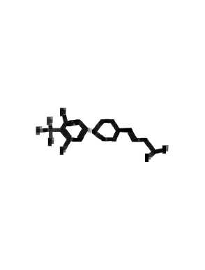 Fc1cc([C@H]2CC[C@H](C=CCC(F)F)CC2)cc(F)c1C(F)(F)F